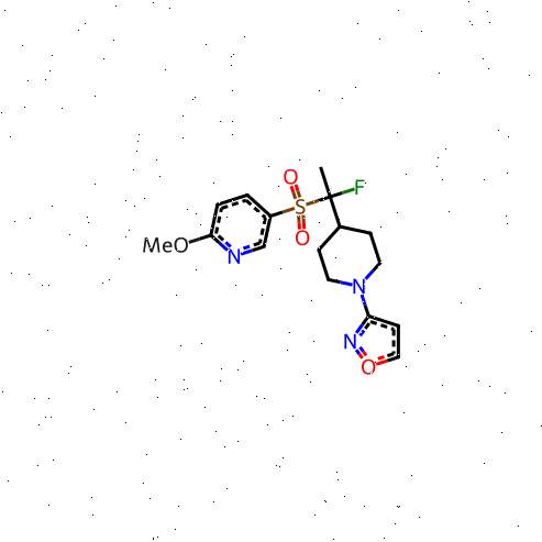 COc1ccc(S(=O)(=O)C(C)(F)C2CCN(c3ccon3)CC2)cn1